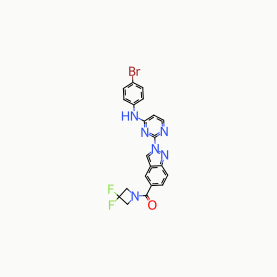 O=C(c1ccc2nn(-c3nccc(Nc4ccc(Br)cc4)n3)cc2c1)N1CC(F)(F)C1